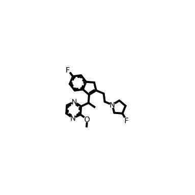 COc1nccnc1C(C)C1=C(CCN2CCC(F)C2)Cc2cc(F)ccc21